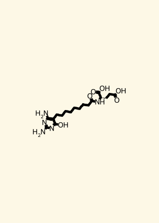 Nc1nc(N)c(CCCCCCCCC(=O)N[C@@H](CCC(=O)O)C(=O)O)c(O)n1